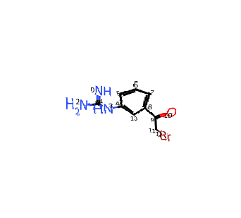 N=C(N)Nc1cccc(C(=O)CBr)c1